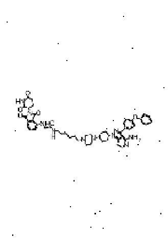 Nc1nccc2c1c(-c1ccc(Oc3ccccc3)cc1)nn2[C@H]1CC[C@H](N2CCN(CCCCCCNC(=O)CNc3cccc4c3C(=O)N(C3CCC(=O)NC3=O)C4=O)CC2)CC1